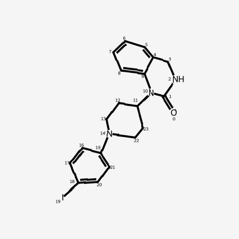 O=C1NCc2ccccc2N1C1CCN(c2ccc(I)cc2)CC1